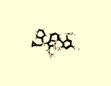 COc1cc(C)cc(C)c1-c1cccc2c(N(CC3CC3)C3CCCOC3)c(OC)nn12